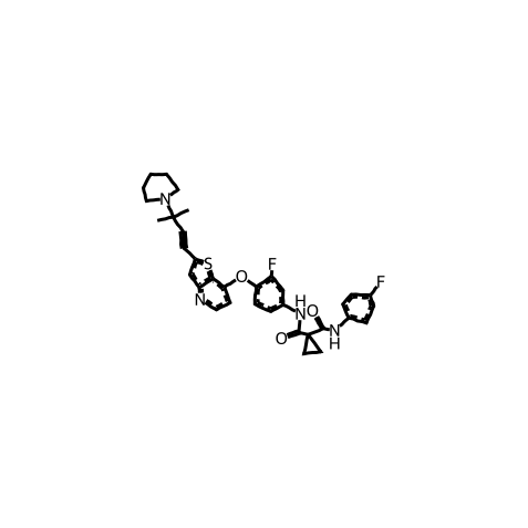 CC(C)(C#Cc1cc2nccc(Oc3ccc(NC(=O)C4(C(=O)Nc5ccc(F)cc5)CC4)cc3F)c2s1)N1CCCCC1